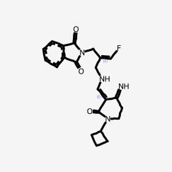 N=C1CCN(C2CCC2)C(=O)/C1=C/NC/C(=C/F)CN1C(=O)c2ccccc2C1=O